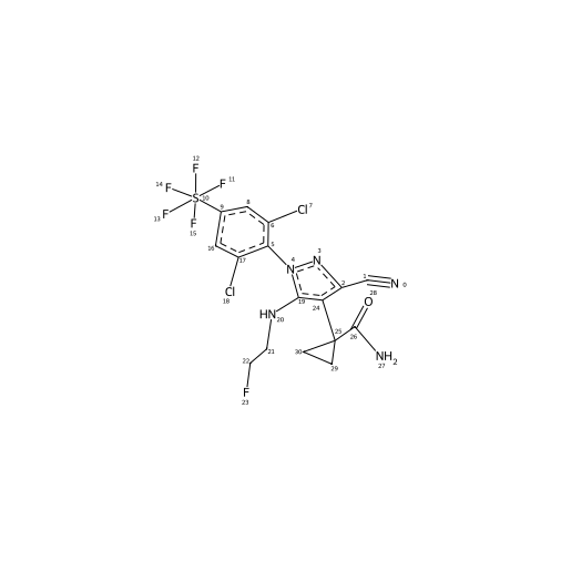 N#Cc1nn(-c2c(Cl)cc(S(F)(F)(F)(F)F)cc2Cl)c(NCCF)c1C1(C(N)=O)CC1